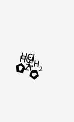 Cl.Cl.[CH2]=[Zr]([C]1=CC=CC1)[C]1=CC=CC1